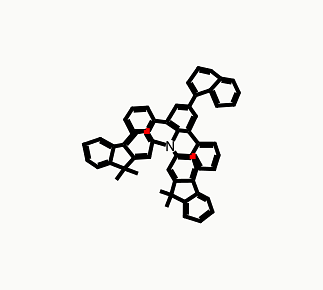 CC1(C)c2ccccc2-c2ccc(N(c3ccc4c(c3)C(C)(C)c3ccccc3-4)c3c(-c4ccccc4)cc(-c4cccc5ccccc45)cc3-c3ccccc3)cc21